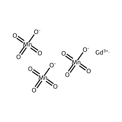 [Gd+3].[O]=[Mn](=[O])(=[O])[O-].[O]=[Mn](=[O])(=[O])[O-].[O]=[Mn](=[O])(=[O])[O-]